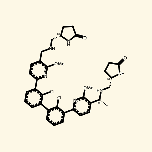 COc1nc(-c2cccc(-c3cccc(-c4ccc([C@@H](C)NC[C@@H]5CCC(=O)N5)c(OC)n4)c3Cl)c2Cl)ccc1CNC[C@@H]1CCC(=O)N1